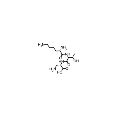 C[C@@H](O)[C@H](NC(=O)[C@@H](N)CCCCN)C(=O)N[C@@H](CN)C(=O)O